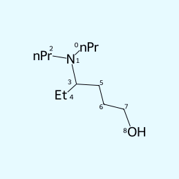 CCCN(CCC)C(CC)CCCO